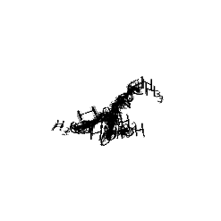 CN(C)CCCOc1ccc(-c2ccc(C[C@@H](C(N)=O)N(c3ccc(-c4noc(=O)[nH]4)cc3)C(=O)[C@H]3CC[C@H](CNC(=O)OC(C)(C)C)CC3)cc2)cn1.O=C(O)C(F)(F)F